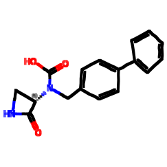 O=C1NC[C@@H]1N(Cc1ccc(-c2ccccc2)cc1)C(=O)O